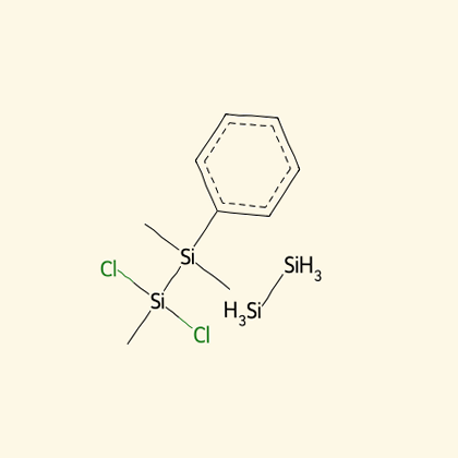 C[Si](Cl)(Cl)[Si](C)(C)c1ccccc1.[SiH3][SiH3]